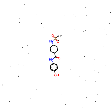 CC(C)S(=O)(=O)NC1CCC(C(=O)Nc2ccc(O)cc2)CC1